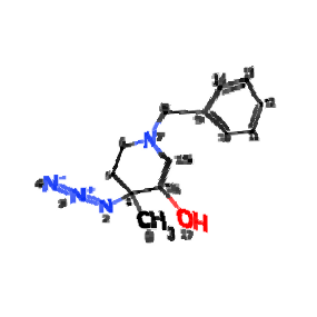 CC1(N=[N+]=[N-])CCN(Cc2ccccc2)CC1O